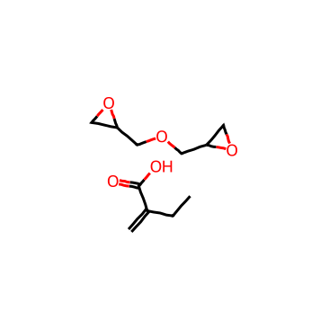 C(OCC1CO1)C1CO1.C=C(CC)C(=O)O